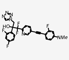 CNc1ccc(C#Cc2ccc(C(F)(F)C(O)(Cn3cnnn3)c3ccc(F)cc3F)nc2)c(F)c1